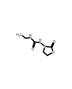 CCNC(=O)NN1CCOC1=O